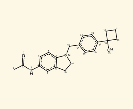 CC(=O)Nc1ccc2c(c1)CCN2Cc1ccc(C2(O)CCC2)cc1